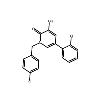 O=c1c(O)cc(-c2ccccc2Cl)cn1Cc1ccc(Cl)cc1